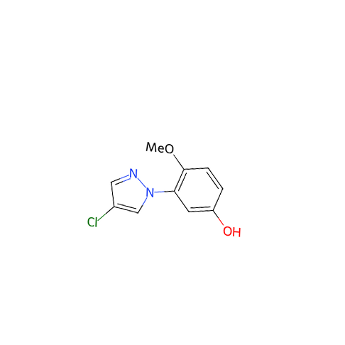 COc1ccc(O)cc1-n1cc(Cl)cn1